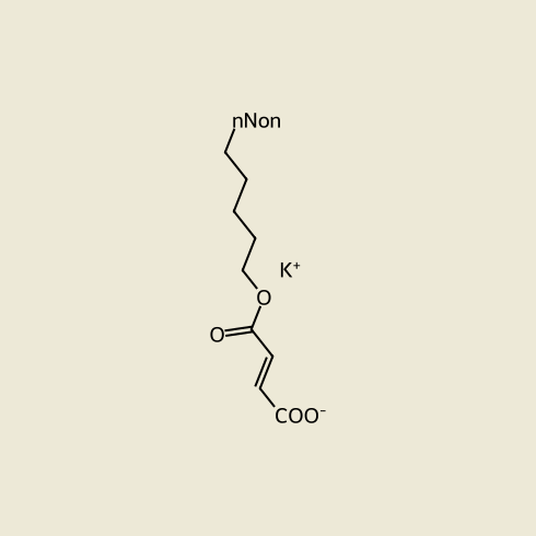 CCCCCCCCCCCCCCOC(=O)/C=C/C(=O)[O-].[K+]